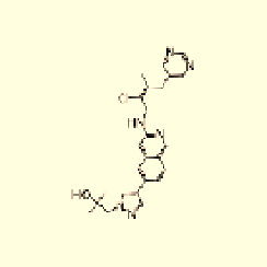 CC(Cc1cncnc1)=C(Cl)CNc1cc2cc(-c3cnn(CC(C)(C)O)c3)ccc2cn1